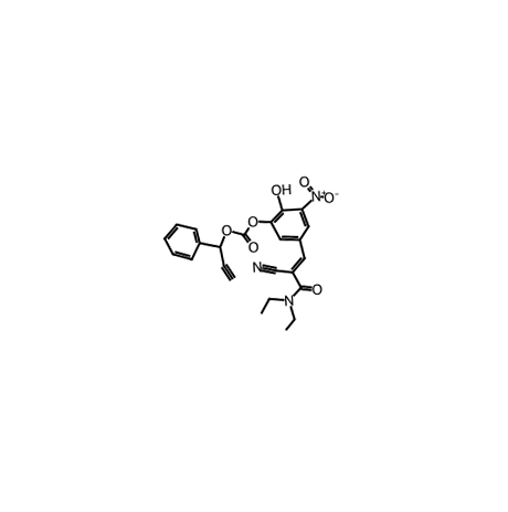 C#CC(OC(=O)Oc1cc(/C=C(\C#N)C(=O)N(CC)CC)cc([N+](=O)[O-])c1O)c1ccccc1